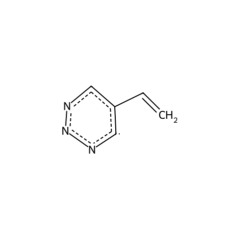 C=Cc1[c]nnnc1